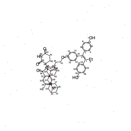 CCC(=C(c1ccc(O)cc1)c1ccc(OCCN2CCC(CN3CC4CC(C3)N4c3cc4c(cc3F)C(=O)N(C3CCC(=O)NC3=O)C4=O)CC2)cc1)c1ccc(O)cc1